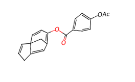 CC(=O)Oc1ccc(C(=O)OC2=C3C=C4CC=CC4(C=C2)C3)cc1